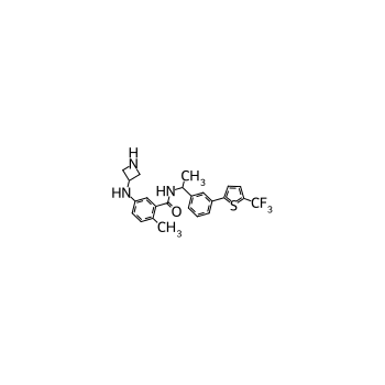 Cc1ccc(NC2CNC2)cc1C(=O)NC(C)c1cccc(-c2ccc(C(F)(F)F)s2)c1